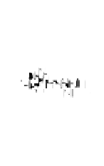 Cn1c(=O)c2c(ncn2CCNNC(=N)N)n(C)c1=O